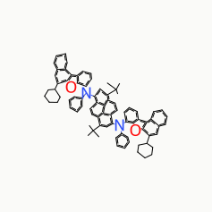 CC(C)(C)c1cc(N(c2ccccc2)c2cccc3c2oc2c(C4CCCCC4)cc4ccccc4c23)c2ccc3c(C(C)(C)C)cc(N(c4ccccc4)c4cccc5c4oc4c(C6CCCCC6)cc6ccccc6c45)c4ccc1c2c43